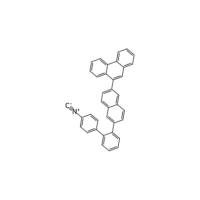 [C-]#[N+]c1ccc(-c2ccccc2-c2ccc3cc(-c4cc5ccccc5c5ccccc45)ccc3c2)cc1